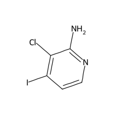 Nc1nccc(I)c1Cl